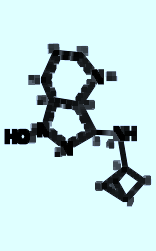 On1nc(NC23CC(C2)C3)c2ncccc21